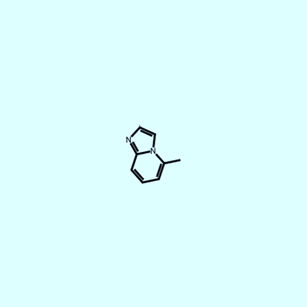 Cc1cccc2n[c]cn12